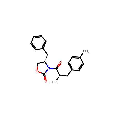 Cc1ccc(C[C@@H](C)C(=O)N2C(=O)OC[C@@H]2Cc2ccccc2)cc1